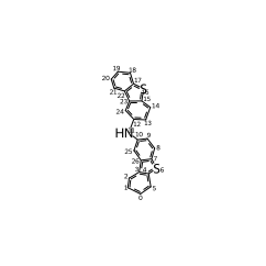 c1ccc2c(c1)sc1ccc(Nc3ccc4sc5ccccc5c4c3)cc12